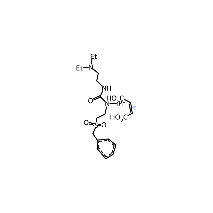 CCN(CC)CCNC(=O)N(CCS(=O)(=O)Cc1ccccc1)C(C)C.O=C(O)/C=C\C(=O)O